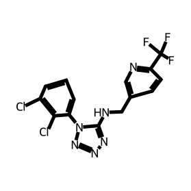 FC(F)(F)c1ccc(CNc2nnnn2-c2cccc(Cl)c2Cl)cn1